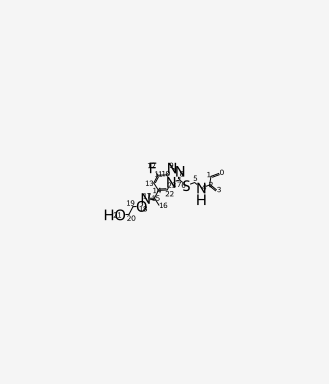 C=CC(=C)NCSc1nnc2c(F)cc(/C(C)=N/OCCO)cn12